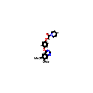 COc1cc2ncnc(Oc3ccc(OCC(=O)N4CCCCC4)cc3)c2cc1OC